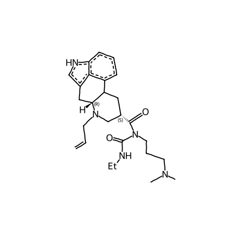 C=CCN1C[C@@H](C(=O)N(CCCN(C)C)C(=O)NCC)CC2c3cccc4[nH]cc(c34)C[C@H]21